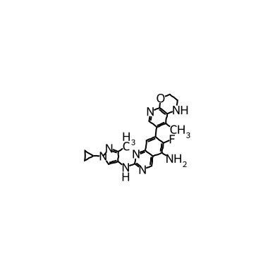 Cc1nn(C2CC2)cc1Nc1ncc2c(N)c(F)c(-c3cnc4c(c3C)NCCO4)cc2n1